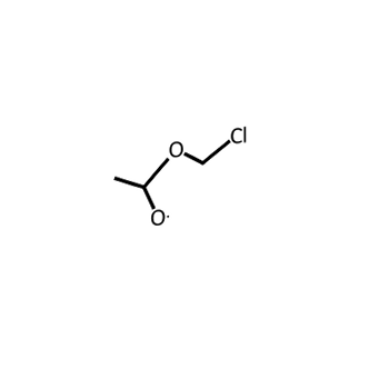 CC([O])OCCl